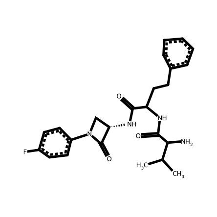 CC(C)C(N)C(=O)NC(CCc1ccccc1)C(=O)N[C@H]1CN(c2ccc(F)cc2)C1=O